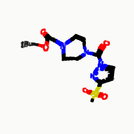 CC(C)(C)OC(=O)N1CCN(C(=O)n2ccc(S(C)(=O)=O)n2)CC1